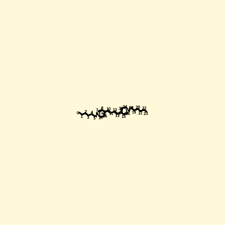 CCCCCC[n+]1ccc(/C=C/C=C/c2cc[n+](CCCCCC)cc2)cc1